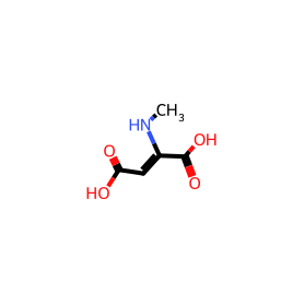 CN/C(=C\C(=O)O)C(=O)O